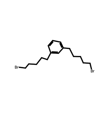 BrCCCCCc1cccc(CCCCCBr)c1